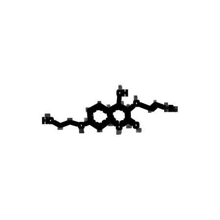 CCCCC=COc1c(O)c2ccc(OCCO)cc2oc1=O